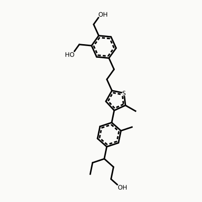 CCC(CCO)c1ccc(-c2cc(CCc3ccc(CO)c(CO)c3)sc2C)c(C)c1